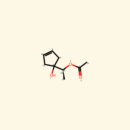 CC(=O)O[C@@H](C)C1(O)CC=CC1